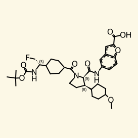 COC1CCC([C@H]2CCN(C(=O)C3CCC([C@@H](CF)NC(=O)OC(C)(C)C)CC3)[C@H]2C(=O)Nc2ccc3oc(C(=O)O)cc3c2)CC1